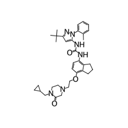 Cc1ccccc1-n1nc(C(C)(C)C)cc1NC(=O)Nc1ccc(OCCN2CCN(CC3CC3)C(=O)C2)c2c1CCC2